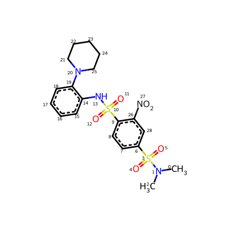 CN(C)S(=O)(=O)c1ccc(S(=O)(=O)Nc2ccccc2N2CCCCC2)c([N+](=O)[O-])c1